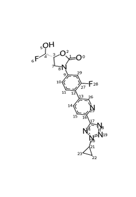 O=C1O[C@@H](C(O)F)CN1c1ccc(-c2ccc(-c3nnn(C4CC4)n3)nc2)c(F)c1